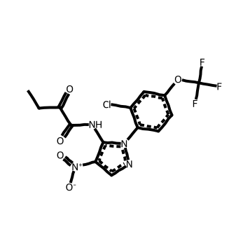 CCC(=O)C(=O)Nc1c([N+](=O)[O-])cnn1-c1ccc(OC(F)(F)F)cc1Cl